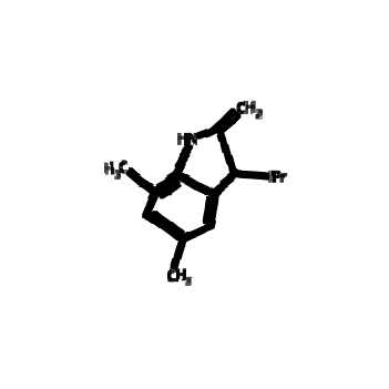 C=C1Nc2c(C)cc(C)cc2C1C(C)C